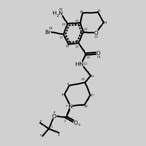 CC(C)(C)OC(=O)N1CCC(CNC(=O)c2cc(Br)c(N)c3c2OCCC3)CC1